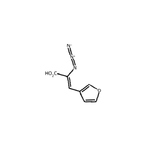 [N-]=[N+]=NC(=Cc1ccoc1)C(=O)O